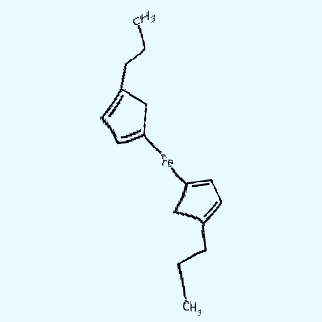 CCCC1=CC=[C]([Fe][C]2=CC=C(CCC)C2)C1